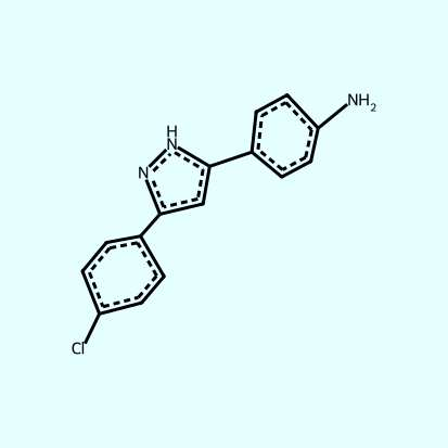 Nc1ccc(-c2cc(-c3ccc(Cl)cc3)n[nH]2)cc1